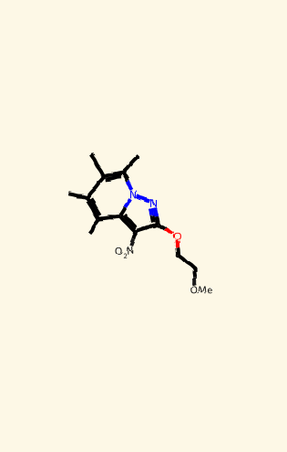 COCCOc1nn2c(C)c(C)c(C)c(C)c2c1[N+](=O)[O-]